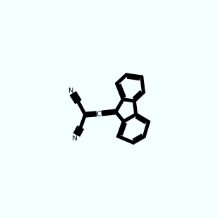 N#CC(=C=C1c2ccccc2-c2ccccc21)C#N